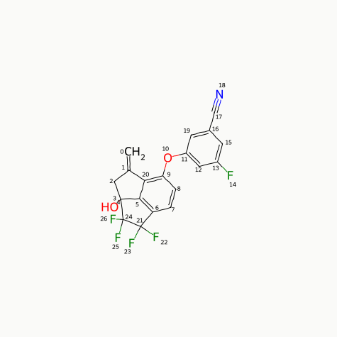 C=C1CC2(O)c3c(ccc(Oc4cc(F)cc(C#N)c4)c31)C(F)(F)C2(F)F